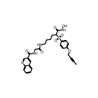 CC#CCOc1ccc(S(=O)(=O)C(CCCCNC(=O)CNC(=O)c2cnc3ccccc3c2)C(=O)NO)cc1